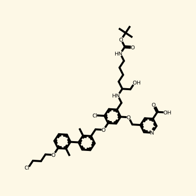 Cc1c(COc2cc(OCc3cncc(C(=O)O)c3)c(CNC(CO)CCCCNC(=O)OC(C)(C)C)cc2Cl)cccc1-c1cccc(OCCCCl)c1C